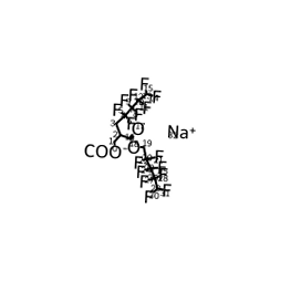 O=C([O-])CC(CC(F)(F)C(F)(F)C(F)(F)C(F)F)C(=O)OCC(F)(F)C(F)(F)C(F)(F)C(F)F.[Na+]